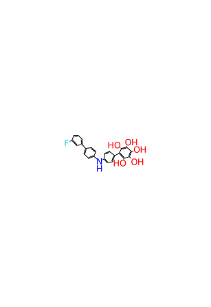 Oc1c(O)c(O)c(-c2ccc(Nc3ccc(-c4cccc(F)c4)cc3)cc2)c(O)c1O